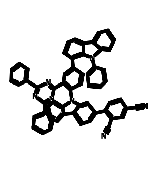 N#Cc1ccc(-c2ccc3c4ccccc4n(-c4ccc(-c5cccc6c7ccccc7n(-c7ccccc7)c56)cc4-c4nc(-c5ccccc5)nc(-c5ccccc5)n4)c3c2)c(C#N)c1